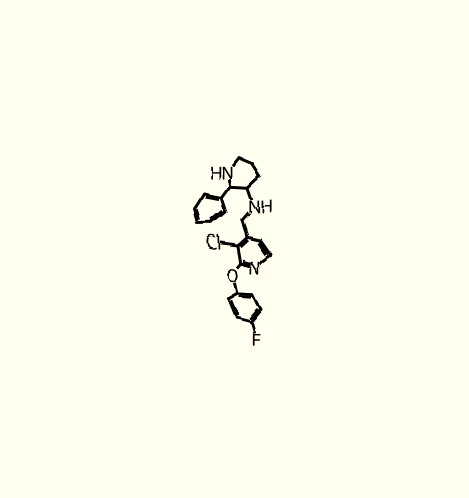 Fc1ccc(Oc2nccc(CNC3CCCNC3c3ccccc3)c2Cl)cc1